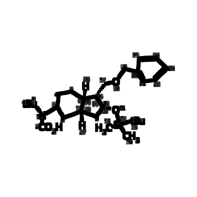 CC(C)(C)N(C(=O)O)C1CC[C@@H]2[C@@H](C1)C[C@@H](O[Si](C)(C)C(C)(C)C)[C@H]2COCc1ccccc1